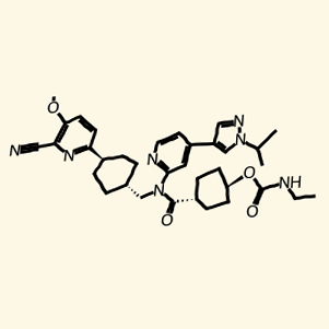 CCNC(=O)O[C@H]1CC[C@H](C(=O)N(C[C@H]2CC[C@H](c3ccc(OC)c(C#N)n3)CC2)c2cc(-c3cnn(C(C)C)c3)ccn2)CC1